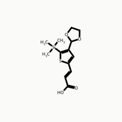 C[Si](C)(C)c1sc(C=CC(=O)O)cc1C1OCCO1